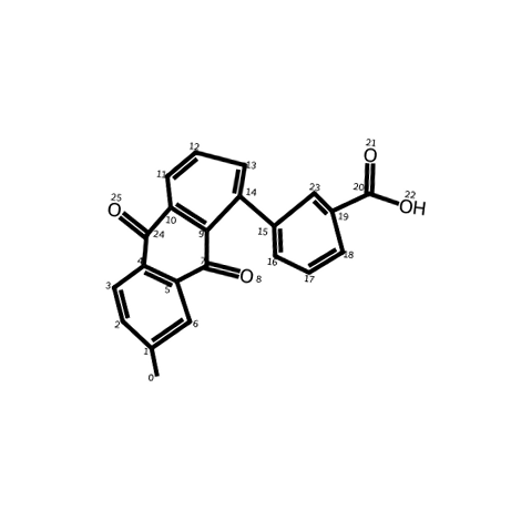 Cc1ccc2c(c1)C(=O)c1c(cccc1-c1cccc(C(=O)O)c1)C2=O